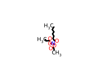 CCCCCCCC(=O)N(OC(=O)CC)OC(=O)CC